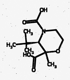 CC(C)(C)[C@H]1N(C(=O)O)CCOC1(C)C(=O)O